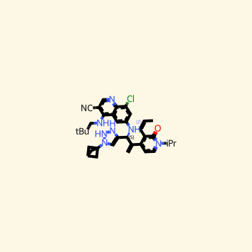 C=C(c1ccn(C(C)C)c(=O)c1/C=C\C)[C@H](Nc1cc(Cl)c2ncc(C#N)c(NCC(C)(C)C)c2c1)C1=CN(C23CC(C2)C3)NN1